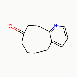 O=C1CCCCc2cccnc2CC1